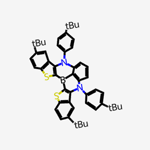 CC(C)(C)c1ccc(N2c3cccc4c3B(c3sc5ccc(C(C)(C)C)cc5c32)c2sc3ccc(C(C)(C)C)cc3c2N4c2ccc(C(C)(C)C)cc2)cc1